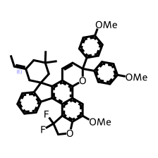 C/C=C1\CC(C)(C)CC2(C1)c1ccccc1-c1c2c2c(c3cc(OC)c4c(c13)C(F)(F)CO4)OC(c1ccc(OC)cc1)(c1ccc(OC)cc1)C=C2